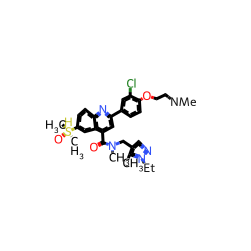 CCn1ncc(CN(C)C(=O)c2cc(-c3ccc(OCCNC)c(Cl)c3)nc3ccc([SH](C)(C)=O)cc23)c1C